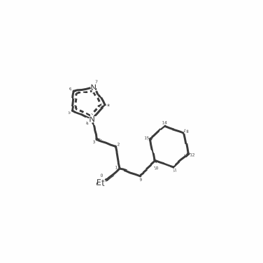 CCC(CCn1ccnc1)CC1CCCCC1